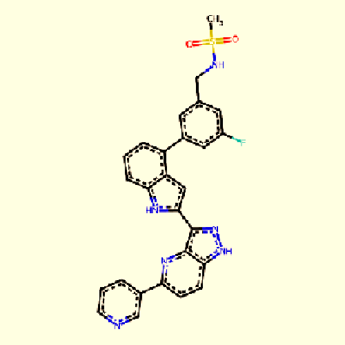 CS(=O)(=O)NCc1cc(F)cc(-c2cccc3[nH]c(-c4n[nH]c5ccc(-c6cccnc6)nc45)cc23)c1